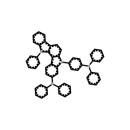 c1ccc(N(c2ccccc2)c2ccc(-n3c4cc(N(c5ccccc5)c5ccccc5)ccc4c4c3ccc3c5ccccc5n(-c5ccccc5)c34)cc2)cc1